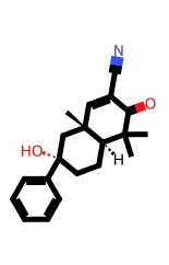 CC1(C)C(=O)C(C#N)=C[C@@]2(C)C[C@](O)(c3ccccc3)CC[C@H]12